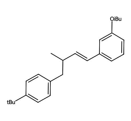 CC(C)COc1cccc(C=CC(C)Cc2ccc(C(C)(C)C)cc2)c1